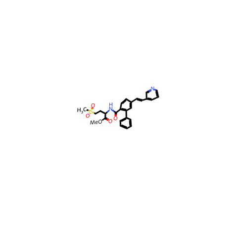 COC(=O)C(CCS(C)(=O)=O)NC(=O)c1ccc(C=Cc2cccnc2)cc1-c1ccccc1